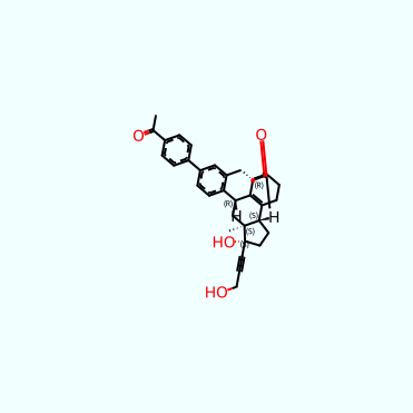 CC(=O)c1ccc(-c2ccc3c(c2)C[C@]24CCC(=O)C=C2CCC2=C4[C@@H]3C[C@@]3(C)[C@H]2CC[C@@]3(O)C#CCO)cc1